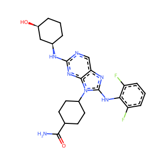 NC(=O)C1CCC(n2c(Nc3c(F)cccc3F)nc3cnc(N[C@@H]4CCC[C@H](O)C4)nc32)CC1